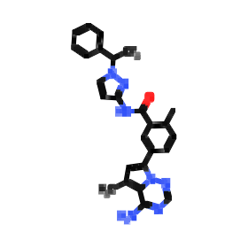 Cc1ccc(-c2cc(C(F)(F)F)c3c(N)ncnn23)cc1C(=O)Nc1ccn(C(c2ccccc2)C(F)(F)F)n1